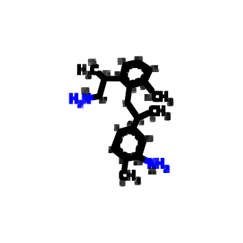 Cc1ccc(C(C)Cc2c(C)cccc2C(C)CN)cc1N